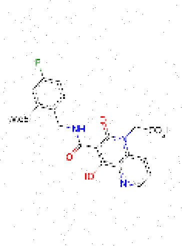 CSc1cc(F)ccc1CNC(=O)c1c(O)c2ncccc2n(CC(=O)O)c1=O